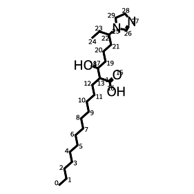 CCCCCCCCCCCCCC(C(=O)O)C(O)CCCC(CC)N1C=NCC1